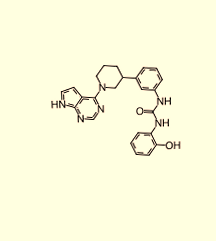 O=C(Nc1cccc(C2CCCN(c3ncnc4[nH]ccc34)C2)c1)Nc1ccccc1O